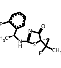 C[C@H](NC1=NC(=O)[C@]2(CC2(C)F)S1)c1ccccc1F